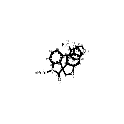 CCCCCN1C(=O)C2(COc3cc4c(cc32)OCO4)c2c(-c3cnccc3C(F)(F)F)cccc21